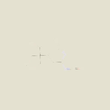 O=C=NC(CCC(CO)(CO)CO)N=C=O